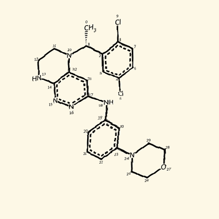 C[C@H](c1cc(Cl)ccc1Cl)N1CCNc2nnc(Nc3cccc(N4CCOCC4)c3)cc21